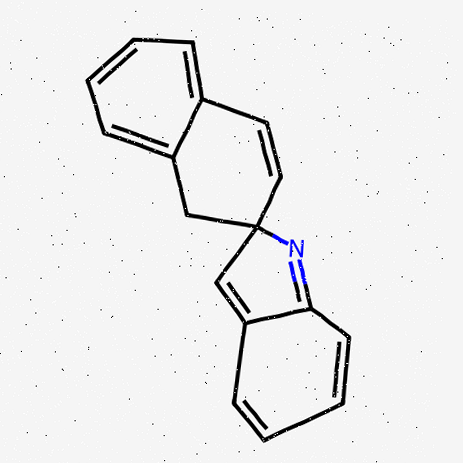 C1=CC2(C=c3ccccc3=N2)Cc2ccccc21